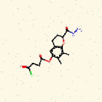 Cc1c(OC(=O)CCC(=O)Cl)cc2c(c1C)OC(C(=O)NN)CC2